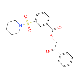 O=C(COC(=O)c1cccc(S(=O)(=O)N2CCCCC2)c1)c1ccccc1